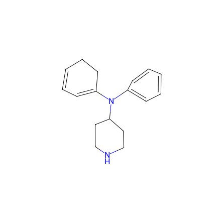 C1=CCCC(N(c2ccccc2)C2CCNCC2)=C1